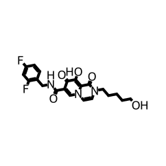 O=C(NCc1ccc(F)cc1F)c1cn2ccn(CCCCCO)c(=O)c2c(O)c1=O